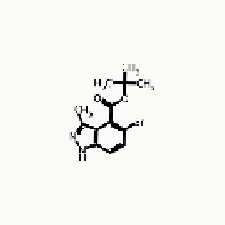 Cc1n[nH]c2ccc(Br)c(C(=O)OC(C)(C)C)c12